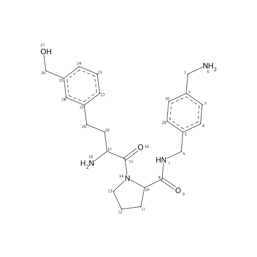 NCc1ccc(CNC(=O)C2CCCN2C(=O)C(N)CCc2cccc(CO)c2)cc1